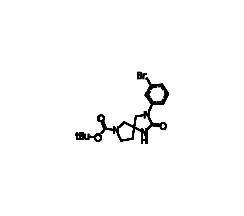 CC(C)(C)OC(=O)N1CCC2(C1)CN(c1cccc(Br)c1)C(=O)N2